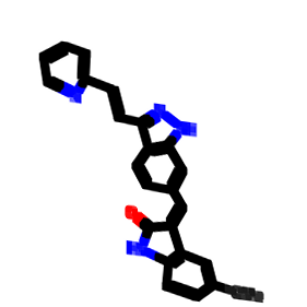 COc1ccc2c(c1)C(=Cc1ccc3c(/C=C/c4ccccn4)n[nH]c3c1)C(=O)N2